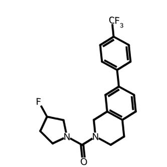 O=C(N1CCc2ccc(-c3ccc(C(F)(F)F)cc3)cc2C1)N1CCC(F)C1